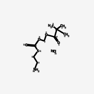 CC(C)(C)C(=O)OCOC(=O)SCCN.Cl